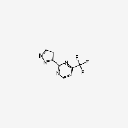 FC(F)(F)c1ccnc(C2=NN=CC2)n1